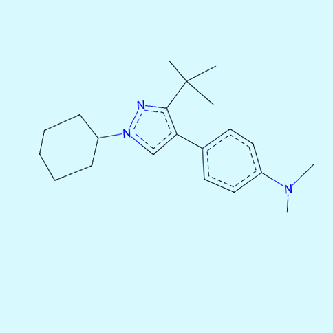 CN(C)c1ccc(-c2cn(C3CCCCC3)nc2C(C)(C)C)cc1